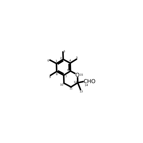 Cc1c(C)c(C)c2c(c1C)CCC(C)(C=O)O2